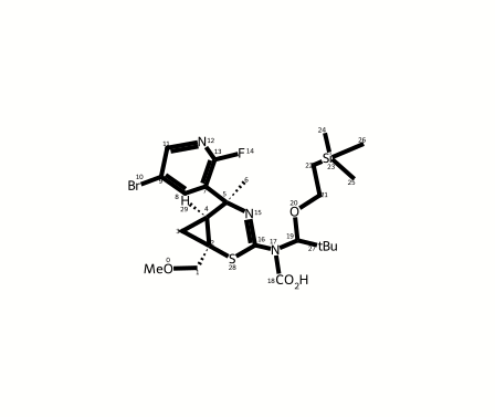 COC[C@]12C[C@H]1[C@@](C)(c1cc(Br)cnc1F)N=C(N(C(=O)O)C(OCC[Si](C)(C)C)C(C)(C)C)S2